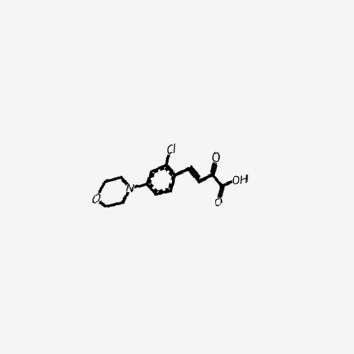 O=C(O)C(=O)C=Cc1ccc(N2CCOCC2)cc1Cl